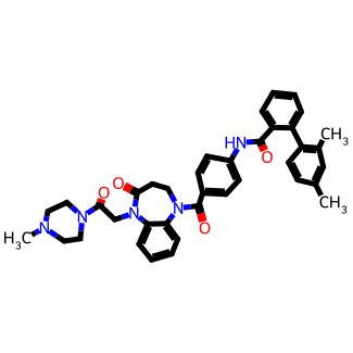 Cc1ccc(-c2ccccc2C(=O)Nc2ccc(C(=O)N3CCC(=O)N(CC(=O)N4CCN(C)CC4)c4ccccc43)cc2)c(C)c1